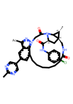 CC(=O)c1nn2c3c(cc(-c4cnc(C)nc4)cc13)CCCCCCC(=O)NC[C@@]13C[C@@H](C(=O)Nc4ccc(Cl)cc4)N(C(=O)C2)C1[C@@H]3C